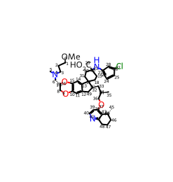 COCCCN(C)C[C@H]1COc2cc3c(cc2O1)C1(CCC(Nc2cccc(Cl)c2)(C(=O)O)CC1)[C@@H](C[C@@H](C)COc1ccnc2c1[C@H](C)CCC2)C3